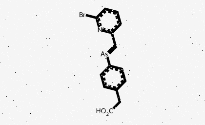 O=C(O)Cc1ccc(/[As]=C/c2cccc(Br)n2)cc1